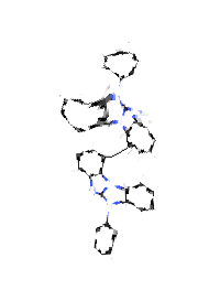 c1ccc(-n2c3ccccc3n3c4c(-c5cccc6nc7n(-c8ccccc8)c8ccccc8n7c56)cccc4nc23)cc1